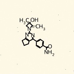 C[C@@H]1N(c2nc3c(c(-c4ccc(C(N)=O)cc4)n2)CCC3)C[C@@]1(C)O